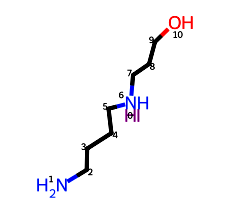 I.NCCCCNCCCO